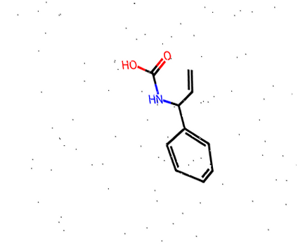 C=CC(NC(=O)O)c1ccccc1